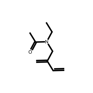 C=CC(=C)CN(CC)C(C)=O